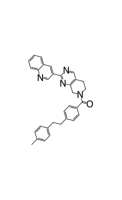 Cc1ccc(CCc2ccc(C(=O)N3CCc4cnc(-c5cnc6ccccc6c5)nc4C3)cc2)cc1